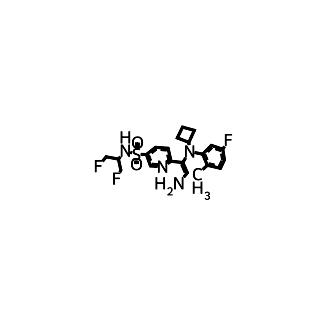 Cc1ccc(F)cc1N(/C(=C/N)c1ccc(S(=O)(=O)NC(CF)CF)cn1)C1CCC1